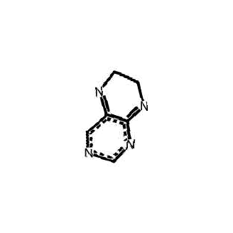 c1ncc2c(n1)=NCCN=2